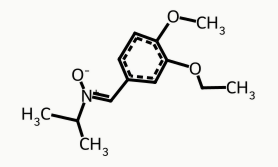 CCOc1cc(C=[N+]([O-])C(C)C)ccc1OC